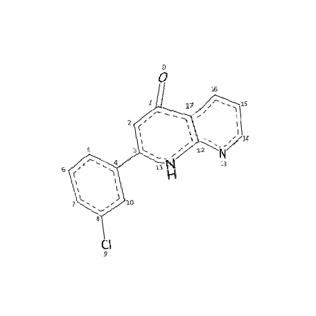 O=c1cc(-c2cccc(Cl)c2)[nH]c2ncccc12